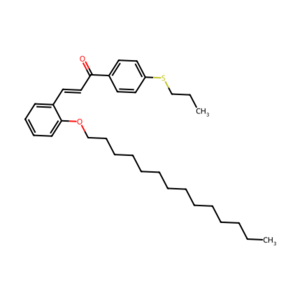 CCCCCCCCCCCCCCOc1ccccc1C=CC(=O)c1ccc(SCCC)cc1